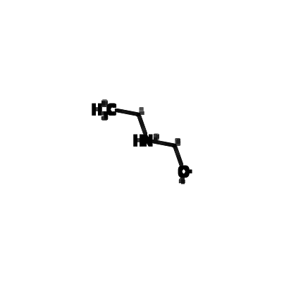 CCNC[O]